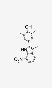 Cc1cc(-c2[nH]c3c([N+](=O)[O-])cccc3c2C)cc(C)c1O